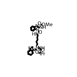 COC(=O)Nc1nc2ccccc2n1C(=O)NCCCCCCN(NC(=O)OC(C)C)C(=O)n1cnc2ccccc21